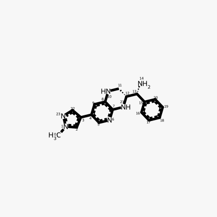 Cn1cc(-c2cnc3c(c2)NC[C@H]([C@H](N)c2ccccc2)N3)cn1